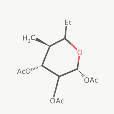 CCC1O[C@H](OC(C)=O)C(OC(C)=O)[C@H](OC(C)=O)[C@H]1C